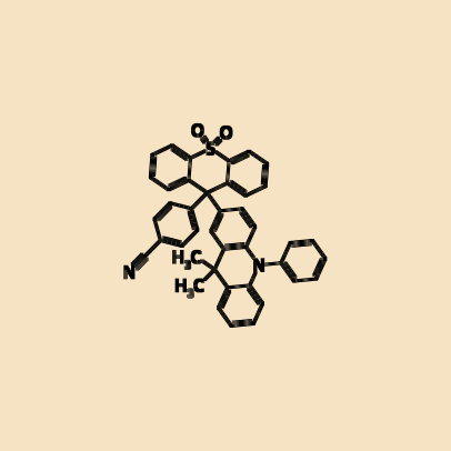 CC1(C)c2ccccc2N(c2ccccc2)c2ccc(C3(c4ccc(C#N)cc4)c4ccccc4S(=O)(=O)c4ccccc43)cc21